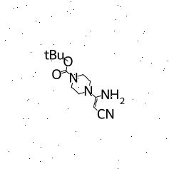 CC(C)(C)OC(=O)N1CCN(/C(N)=C/C#N)CC1